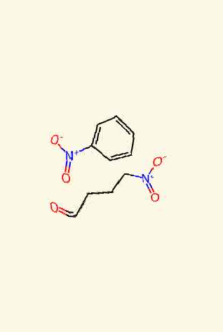 O=CCCC[N+](=O)[O-].O=[N+]([O-])c1ccccc1